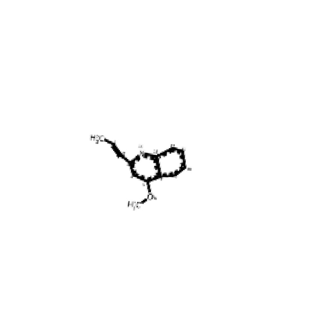 CC=Cc1cc(OC)c2ccccc2n1